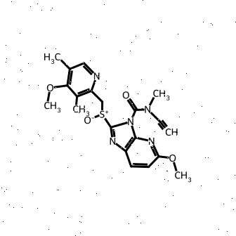 C#CN(C)C(=O)n1c([S+]([O-])Cc2ncc(C)c(OC)c2C)nc2ccc(OC)nc21